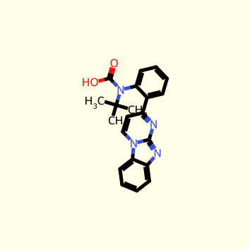 CC(C)(C)N(C(=O)O)c1ccccc1-c1ccn2c(n1)nc1ccccc12